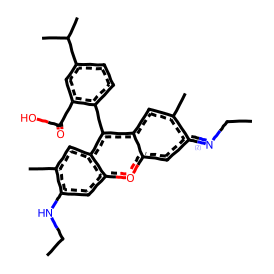 CC/N=c1/cc2oc3cc(NCC)c(C)cc3c(-c3ccc(C(C)C)cc3C(=O)O)c-2cc1C